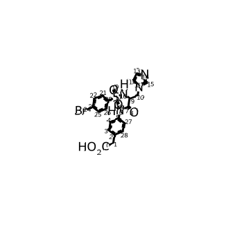 O=C(O)Cc1ccc(NC(=O)C(Cn2ccnc2)NS(=O)(=O)c2ccc(Br)cc2)cc1